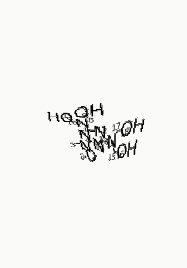 CON(C)c1nc(N(CO)CO)nc(N(CO)CO)n1